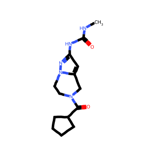 CNC(=O)Nc1cc2n(n1)CCN(C(=O)C1CCCC1)C2